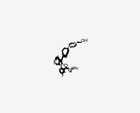 CC(C)N(C)C(=O)c1cc(F)ccc1-n1cc(C2CCC(N3CCN(CCO)CC3)CC2)c2ccncc21